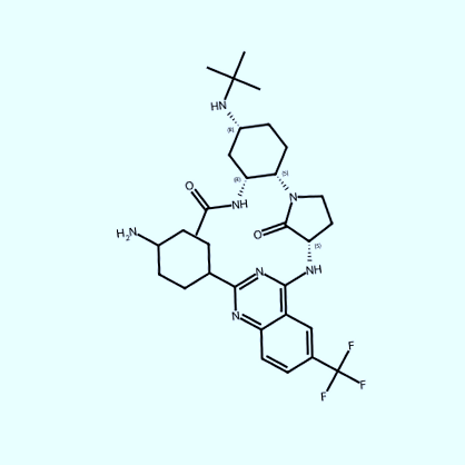 CC(=O)N[C@@H]1C[C@H](NC(C)(C)C)CC[C@@H]1N1CC[C@H](Nc2nc(C3CCC(N)CC3)nc3ccc(C(F)(F)F)cc23)C1=O